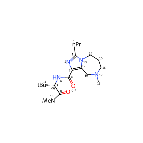 CCCc1nc(C(=O)N[C@H](C(=O)NC)C(C)(C)C)c2n1CCCN(C)C2